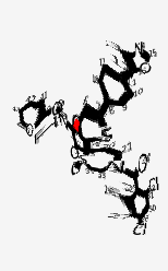 O=C(CC1(c2ccc(-c3ccc(-c4cnco4)cc3)s2)CCN(C(=O)c2ccc(Cl)cc2Cl)CCS1(=O)=O)NOC1CCCCO1